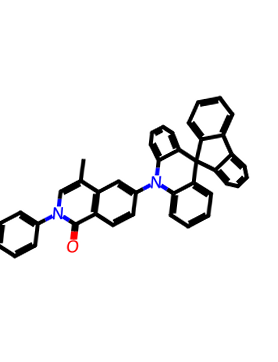 Cc1cn(-c2ccccc2)c(=O)c2ccc(N3c4ccccc4C4(c5ccccc5-c5ccccc54)c4ccccc43)cc12